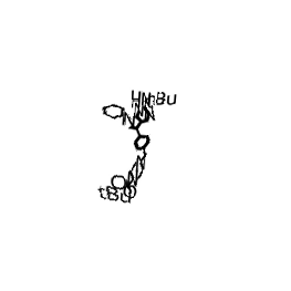 CCCCNc1ncc2c(-c3ccc(CN4CCN(C(=O)OC(C)(C)C)CC4)cc3)cn(C3CCCCC3)c2n1